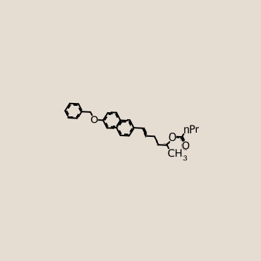 CCCC(=O)OC(C)CCC=Cc1ccc2cc(OCc3ccccc3)ccc2c1